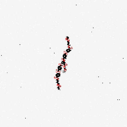 C=CC(=O)OCCCCOC(=O)C1CCC(OC(=O)C2CCC(C(=O)Oc3ccc(OC(=O)C4CCC(C(=O)OC5CCC(C(=O)OCCCCOC(=O)C=C)CC5)CC4)c(C(=O)OCCOCC)c3)CC2)CC1